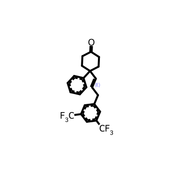 O=C1CCC(/C=C/Cc2cc(C(F)(F)F)cc(C(F)(F)F)c2)(c2ccccc2)CC1